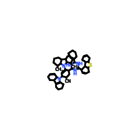 CC1CCCC2C3CCCC(C)C3N(C3=CC(N4C5=C(CCCC5)C5CCC=CC54)C(C#N)CC3C3NC(C4=CCCCC4)NC(C4C=CCC5SC6CC=CCC6C54)N3)C12